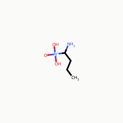 CCCC(N)[N+]([O-])(O)O